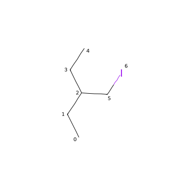 CCC(CC)CI